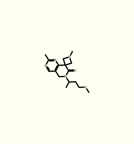 COCCC(C)N1Cc2cnc(C)nc2C2(CN(C)C2)C1=O